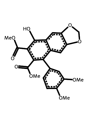 COC(=O)c1c(C(=O)OC)c(-c2ccc(OC)c(OC)c2)c2cc3c(cc2c1O)OCO3